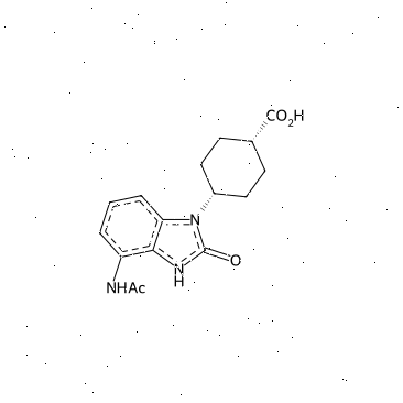 CC(=O)Nc1cccc2c1[nH]c(=O)n2[C@H]1CC[C@@H](C(=O)O)CC1